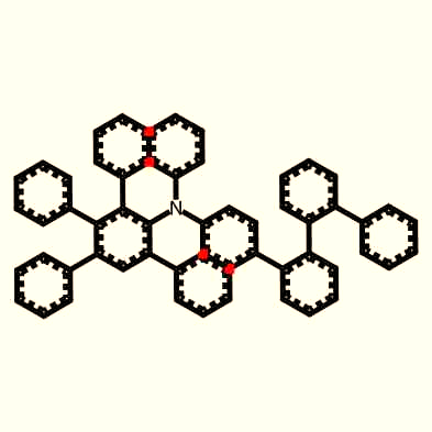 c1ccc(-c2ccccc2-c2ccccc2-c2ccc(N(c3ccccc3)c3c(-c4ccccc4)cc(-c4ccccc4)c(-c4ccccc4)c3-c3ccccc3)cc2)cc1